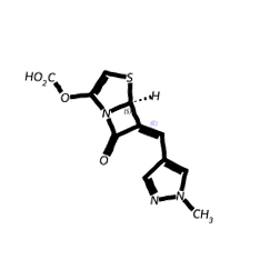 Cn1cc(/C=C2\C(=O)N3C(OC(=O)O)=CS[C@@H]23)cn1